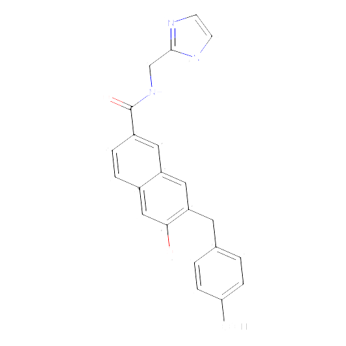 O=C(O)c1ccc(Cc2cc3cc(C(=O)NCc4ncc[nH]4)ccc3cc2O)cc1